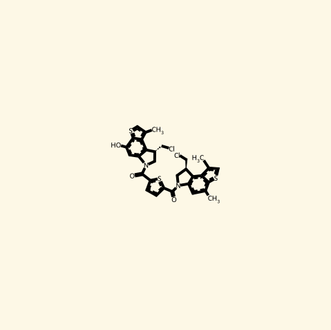 Cc1cc2c(c3c(C)csc13)[C@H](CCl)CN2C(=O)c1ccc(C(=O)N2C[C@@H](CCl)c3c2cc(O)c2scc(C)c32)s1